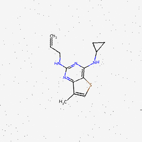 C=CCNc1nc(NC2CC2)c2scc(C)c2n1